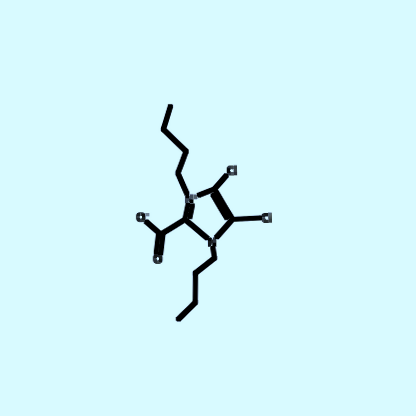 CCCCn1c(Cl)c(Cl)[n+](CCCC)c1C(=O)[O-]